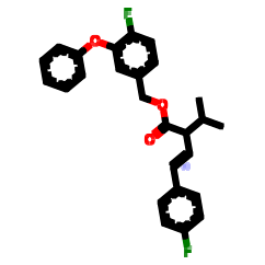 CC(C)C(/C=C/c1ccc(F)cc1)C(=O)OCc1ccc(F)c(Oc2ccccc2)c1